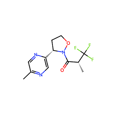 Cc1cnc([C@@H]2CCON2C(=O)[C@@H](C)C(F)(F)F)cn1